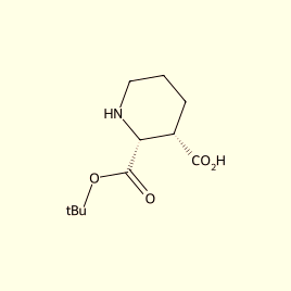 CC(C)(C)OC(=O)[C@@H]1NCCC[C@@H]1C(=O)O